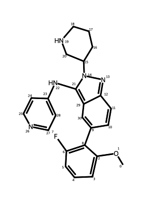 COc1cccc(F)c1-c1ccc2nn(C3CCCNC3)c(Nc3ccncc3)c2c1